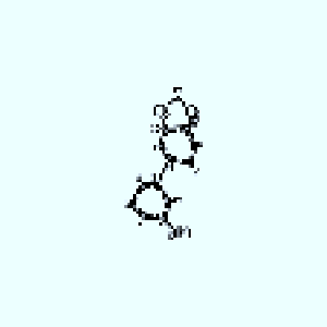 CC(C)c1cccc(-c2ccc3c(c2)OCO3)c1